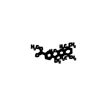 C=C(c1ccc(C(=O)OC)cc1)c1cc2c(cc1C)[Si](C)(C)CC[Si]2(C)C